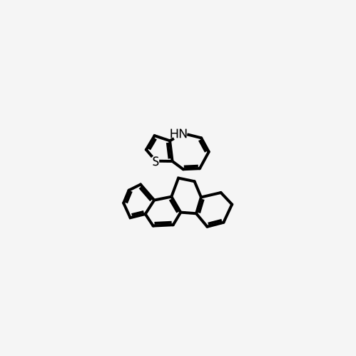 C1=CC2=C(CC1)CCc1c2ccc2ccccc12.C1=CNc2ccsc2C=C1